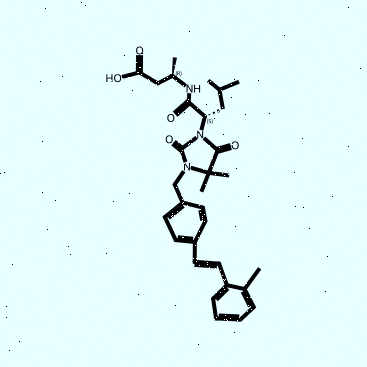 Cc1ccccc1C=Cc1ccc(CN2C(=O)N([C@@H](CC(C)C)C(=O)N[C@H](C)CC(=O)O)C(=O)C2(C)C)cc1